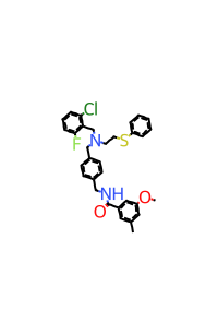 COc1cc(C)cc(C(=O)NCc2ccc(CN(CCSc3ccccc3)Cc3c(F)cccc3Cl)cc2)c1